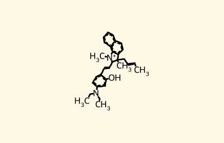 C/C=C/CC1(C)C(/C=C/c2ccc(N(CC)CC)cc2O)=[N+](C)c2c1ccc1ccccc21